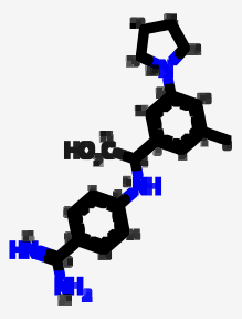 Cc1cc(C(Nc2ccc(C(=N)N)cc2)C(=O)O)cc(N2CCCC2)c1